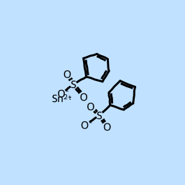 O=S(=O)([O-])c1ccccc1.O=S(=O)([O-])c1ccccc1.[Sn+2]